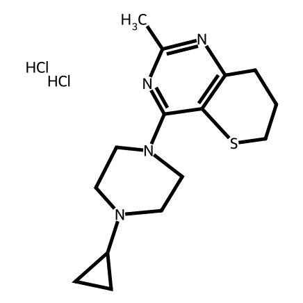 Cc1nc2c(c(N3CCN(C4CC4)CC3)n1)SCCC2.Cl.Cl